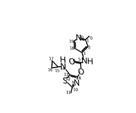 Cc1cc(NC(=O)Oc2nc(C)sc2NC2CC2)ccn1